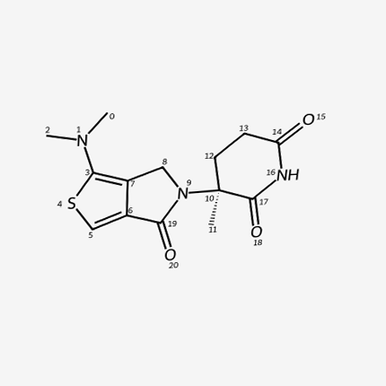 CN(C)c1scc2c1CN([C@@]1(C)CCC(=O)NC1=O)C2=O